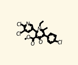 CCn1c(C)c(-c2ccc(Cl)cc2)c(=O)c(C(=O)OC)c1-c1cnc(Cl)c(Cl)c1